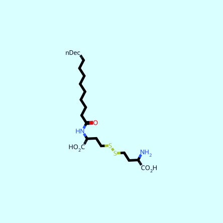 CCCCCCCCCCCCCCCCCCC(=O)NC(CCSSCCC(N)C(=O)O)C(=O)O